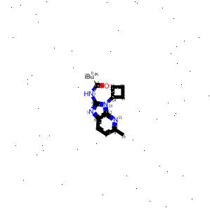 CC[C@@H](C)C(=O)Nc1nc2ccc(C)nc2n1C1CCC1